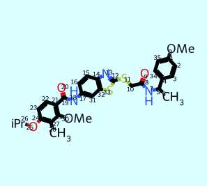 COc1ccc(C(C)NC(=O)CSc2nc3ccc(NC(=O)c4ccc(OC(C)C)c(C)c4OC)cc3s2)cc1